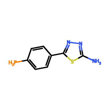 Nc1nnc(-c2ccc(P)cc2)s1